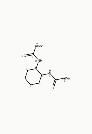 CCCCCCCCCCC(=O)NC1CCCCC1NC(=O)CCCCCCCCCC